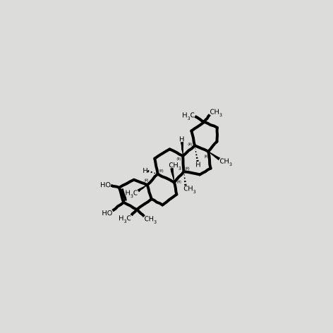 CC1(C)CC[C@]2(C)CC[C@]3(C)[C@H](CC[C@@H]4[C@@]5(C)CC(O)=C(O)C(C)(C)C5CC[C@]43C)[C@H]2C1